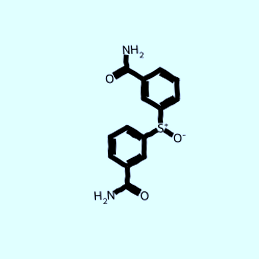 NC(=O)c1cccc([S+]([O-])c2cccc(C(N)=O)c2)c1